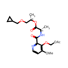 COc1ccnc(C(=O)N[C@@H](C)C(=O)O[C@@H](C)COCC2CC2)c1OCOC(C)=O